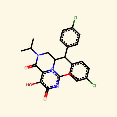 COc1nc(=O)c(O)c2n1C(C(c1ccc(Cl)cc1)c1ccc(Cl)cc1)CN(C(C)C)C2=O